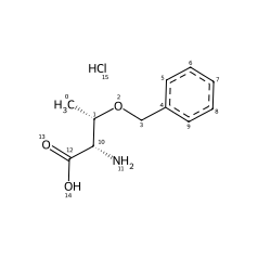 C[C@H](OCc1ccccc1)[C@H](N)C(=O)O.Cl